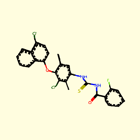 Cc1cc(NC(=S)NC(=O)c2ccccc2F)c(C)c(Cl)c1Oc1ccc(Cl)c2ccccc12